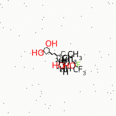 [2H]C([2H])([2H])C(O)(CCC[C@](C)(C/C=C/C(O)(F)C(F)(F)F)[C@H]1CCC2/C(=C/C=C3C[C@@H](O)C[C@H](O)C3)CCC[C@@]21C)C([2H])([2H])[2H]